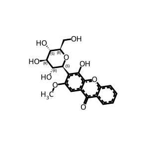 COc1cc2c(=O)c3ccccc3oc2c(O)c1[C@@H]1O[C@H](CO)[C@@H](O)[C@H](O)[C@H]1O